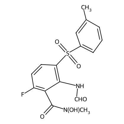 Cc1cccc(S(=O)(=O)c2ccc(F)c(C(=O)N(C)O)c2NC=O)c1